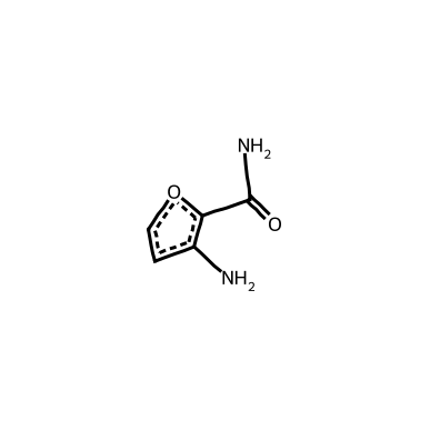 NC(=O)c1occc1N